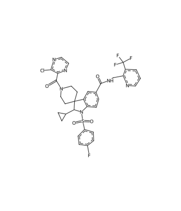 O=C(NCc1ncccc1C(F)(F)F)c1ccc2c(c1)C1(CCN(C(=O)c3nccnc3Cl)CC1)C(C1CC1)N2S(=O)(=O)c1ccc(F)cc1